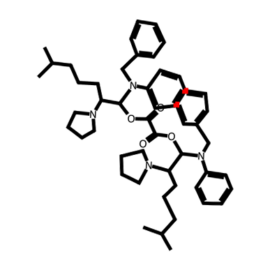 CC(C)CCCC(C(OC(=O)C(=O)OC(C(CCCC(C)C)N1CCCC1)N(Cc1ccccc1)c1ccccc1)N(Cc1ccccc1)c1ccccc1)N1CCCC1